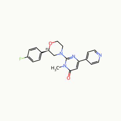 Cn1c(N2CCO[C@H](c3ccc(F)cc3)C2)nc(-c2ccncc2)cc1=O